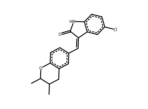 CC1Cc2cc(/C=C3\C(=O)Nc4ccc(Cl)cc43)ccc2OC1C